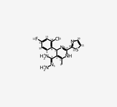 CC1=C(/C(N)=N/N)C(c2ccc(F)cc2Cl)N=C(c2nccs2)N1